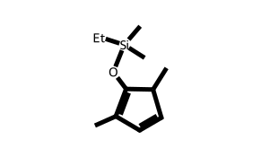 CC[Si](C)(C)OC1=C(C)C=CC1C